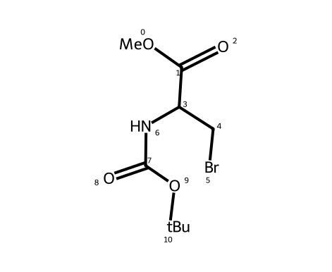 COC(=O)C(CBr)NC(=O)OC(C)(C)C